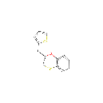 [CH](c1cccs1)C1CSc2ccccc2O1